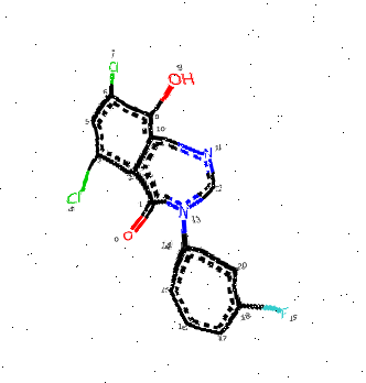 O=c1c2c(Cl)cc(Cl)c(O)c2ncn1-c1cccc(F)c1